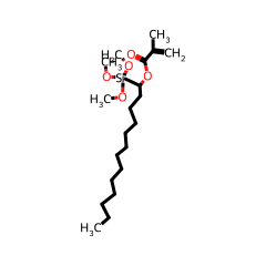 C=C(C)C(=O)OC(CCCCCCCCCCCC)[Si](OC)(OC)OC